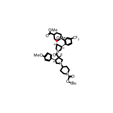 COC[C@H]1CN(C(=O)[C@]2(F)CN(C3CCN(C(=O)OC(C)(C)C)CC3)C[C@H]2c2ccc(OC)cc2)C[C@@H]1c1ccc(C(F)(F)F)cc1N1CCC(C(=O)OC)CC1